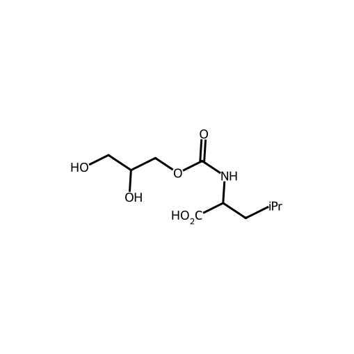 CC(C)CC(NC(=O)OCC(O)CO)C(=O)O